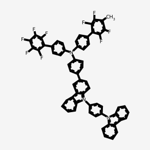 Cc1c(F)c(F)c(-c2ccc(N(c3ccc(-c4ccc5c(c4)c4ccccc4n5-c4ccc(-n5c6ccccc6c6ccccc65)cc4)cc3)c3ccc(-c4c(F)c(F)c(F)c(F)c4F)cc3)cc2)c(F)c1F